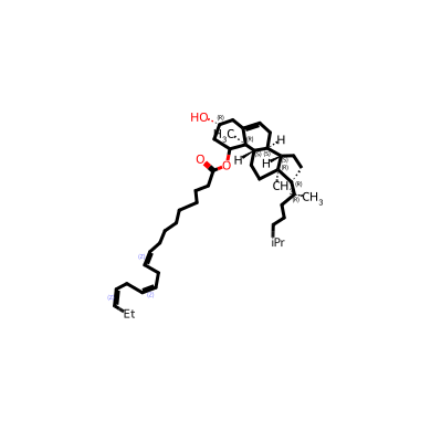 CC/C=C\C/C=C\C/C=C\CCCCCCCC(=O)OC1C[C@H](O)CC2=CC[C@H]3[C@@H]4CC[C@H]([C@H](C)CCCC(C)C)[C@@]4(C)CC[C@@H]3[C@]21C